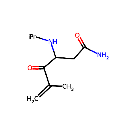 C=C(C)C(=O)C(CC(N)=O)NC(C)C